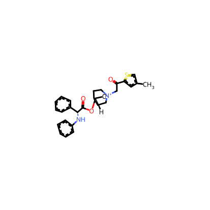 Cc1csc(C(=O)C[N+]23CCC(CC2)[C@@H](OC(=O)[C@H](Nc2ccccc2)c2ccccc2)C3)c1